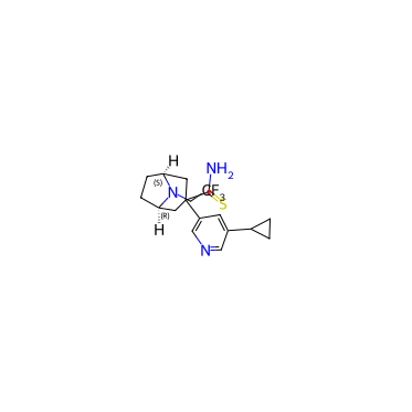 NC(=S)C1(c2cncc(C3CC3)c2)C[C@H]2CC[C@@H](C1)N2CC(F)(F)F